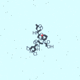 COc1cc(C(=O)N[C@H]2CN(C(=O)CO)c3ccccc3N(CC(=O)N[C@H](C=O)CC(C)=O)C2=O)cc(Cl)n1